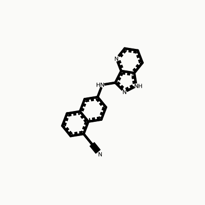 N#Cc1cccc2cc(Nc3n[nH]c4cccnc34)ccc12